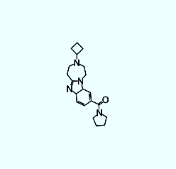 O=C(C1=CC2C(C=C1)N=C1CCN(C3CCC3)CCN12)N1CCCC1